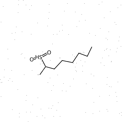 [CH2]C(CCCCCC)[SH](=O)=O